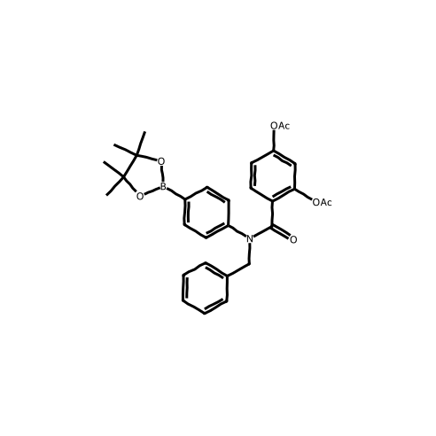 CC(=O)Oc1ccc(C(=O)N(Cc2ccccc2)c2ccc(B3OC(C)(C)C(C)(C)O3)cc2)c(OC(C)=O)c1